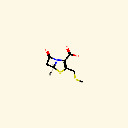 CSCC1=C(C(=O)O)N2C(=O)C[C@@H]2S1